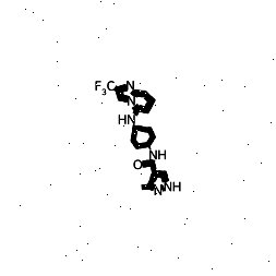 Cc1n[nH]cc1C(=O)N[C@H]1CC[C@@H](Nc2cccc3nc(C(F)(F)F)cn23)CC1